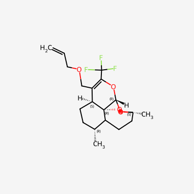 C=CCOCC1=C(C(F)(F)F)O[C@@H]2O[C@]3(C)CCC4[C@H](C)CC[C@@H]1[C@]42OO3